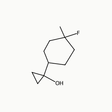 CC1(F)CCC(C2(O)CC2)CC1